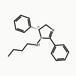 CCCCNP1C(c2ccccc2)=NC[C@H]1c1ccccc1